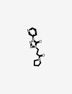 O=C(CCn1nnn(-c2cccnc2)c1=O)N1CCCC1